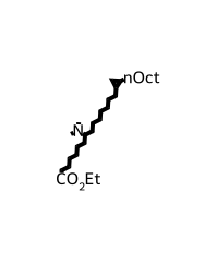 CCCCCCCCC1CC1CCCCCCCC(CCCCCCC(=O)OCC)N(C)C